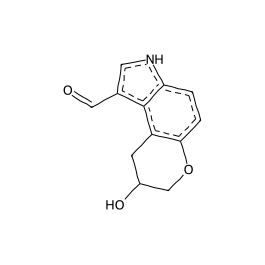 O=Cc1c[nH]c2ccc3c(c12)CC(O)CO3